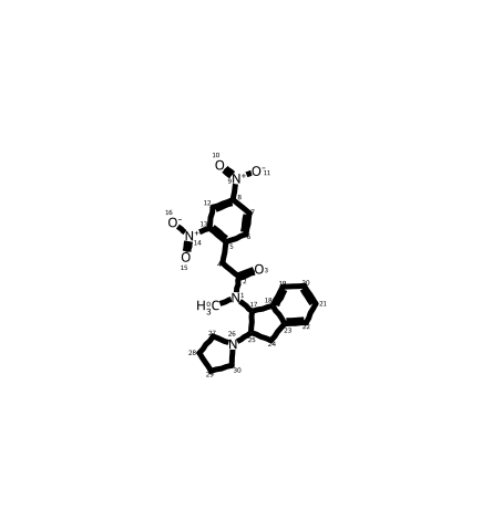 CN(C(=O)Cc1ccc([N+](=O)[O-])cc1[N+](=O)[O-])C1c2ccccc2CC1N1CCCC1